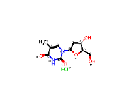 Cc1cn([C@H]2C[C@H](O)[C@@H](CO)O2)c(=O)[nH]c1=O.Cl